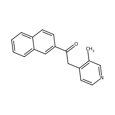 Cc1cnccc1CC(=O)c1ccc2ccccc2c1